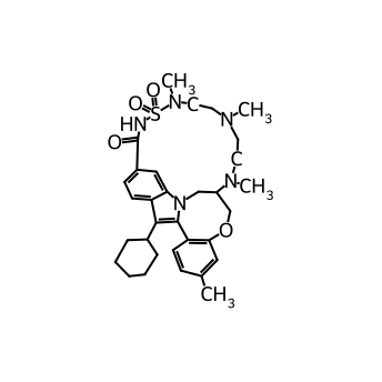 Cc1ccc2c(c1)OCC1Cn3c-2c(C2CCCCC2)c2ccc(cc23)C(=O)NS(=O)(=O)N(C)CCN(C)CCN1C